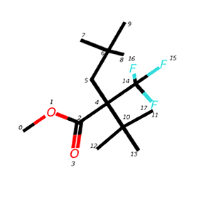 COC(=O)C(CC(C)(C)C)(C(C)(C)C)C(F)(F)F